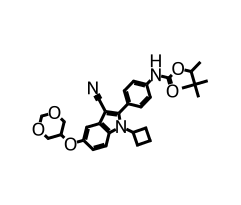 CC(OC(=O)Nc1ccc(-c2c(C#N)c3cc(OC4COCOC4)ccc3n2C2CCC2)cc1)C(C)(C)C